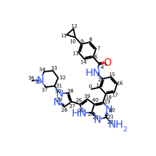 Cc1c(NC(=O)c2ccc(C3CC3)cc2)cccc1-c1nc(N)nc2[nH]c(-c3cnn(C4CCCN(C)C4)c3)cc12